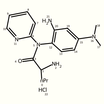 CCCC(N)C(=O)N(c1ccccn1)c1ccc(N(C)C)cc1N.Cl